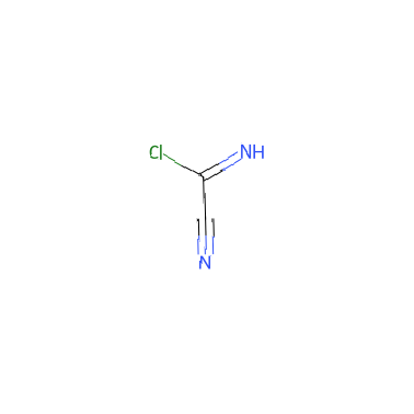 N#CC(=N)Cl